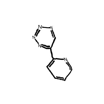 c1ccc(-c2cnnnn2)nc1